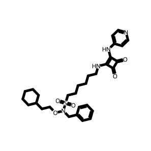 O=c1c(NCCCCCCS(=O)(=O)N(Cc2ccccc2)OCCC2CCCCC2)c(Nc2ccncc2)c1=O